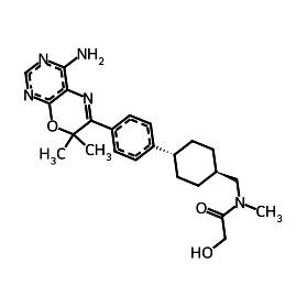 CN(C[C@H]1CC[C@H](c2ccc(C3=Nc4c(N)ncnc4OC3(C)C)cc2)CC1)C(=O)CO